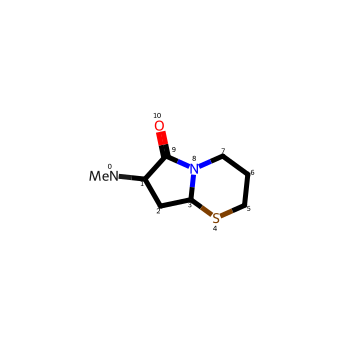 CNC1CC2SCCCN2C1=O